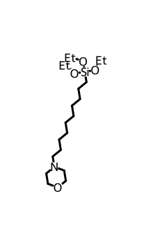 CCO[Si](CCCCCCCCCCN1CCOCC1)(OCC)OCC